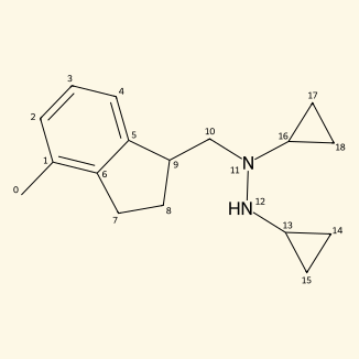 Cc1cccc2c1CCC2CN(NC1CC1)C1CC1